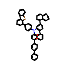 c1ccc(-c2ccc(-c3ccc(N(c4ccc(-c5cccc6c5sc5ccccc56)cc4)c4cc(-c5cccc6ccccc56)ccc4-c4ccccc4)cc3)cc2)cc1